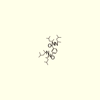 CC(CC(C)C)=NN(C(=O)c1cccc(C(=O)N(N=C(C)CC(C)C)C(C)CC(C)C)c1)C(C)CC(C)C